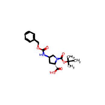 CC(C)(C)OC(=O)N1CC(NC(=O)OCc2ccccc2)C[C@H]1C(=O)O